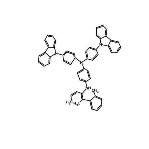 C/C=C\C(Nc1ccc(N(C2=C=C=C(n3c4ccccc4c4ccccc43)C=C2)c2ccc(-n3c4ccccc4c4ccccc43)cc2)cc1)=C(/C)c1ccccc1C